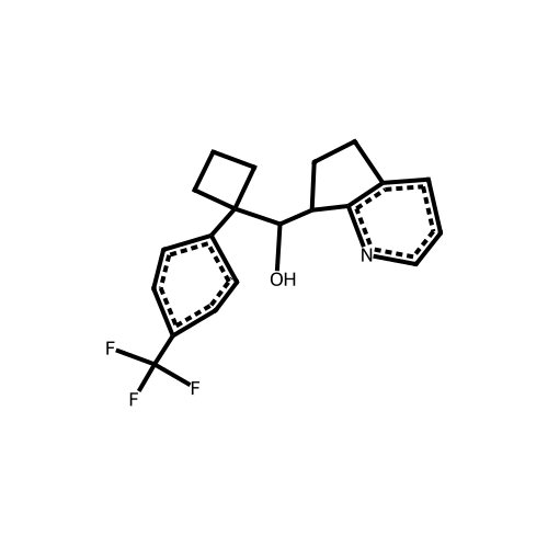 OC(C1CCc2cccnc21)C1(c2ccc(C(F)(F)F)cc2)CCC1